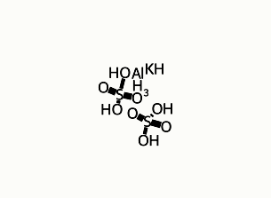 O=S(=O)(O)O.O=S(=O)(O)O.[AlH3].[KH]